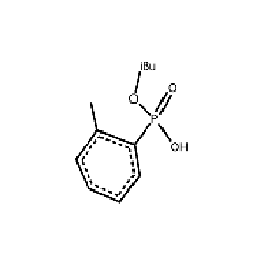 CCC(C)OP(=O)(O)c1ccccc1C